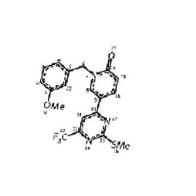 COc1cccc(Cn2cc(-c3cc(C(F)(F)F)nc(SC)n3)ccc2=O)c1